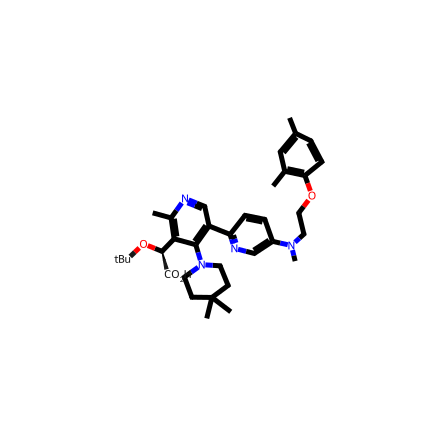 Cc1ccc(OCCN(C)c2ccc(-c3cnc(C)c([C@H](OC(C)(C)C)C(=O)O)c3N3CCC(C)(C)CC3)nc2)c(C)c1